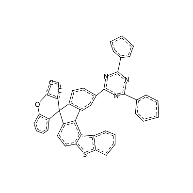 c1ccc(-c2nc(-c3ccccc3)nc(-c3ccc4c(c3)-c3c(ccc5sc6ccccc6c35)C43c4ccccc4Oc4ccccc43)n2)cc1